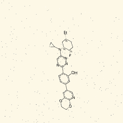 CC[C@@H]1CC[C@H](F)[C@H](N(c2cnc(-c3ccc(-c4cnc5c(c4)OCCO5)cc3O)nn2)C2CC2)C1